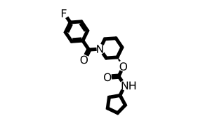 O=C(NC1CCCC1)O[C@H]1CCCN(C(=O)c2ccc(F)cc2)C1